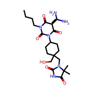 CCCCN1C(=O)C(=C(N)N)C(=O)N(C2CCC(CO)(CN3C(=O)NC(=O)C3(C)C)CC2)C1=O